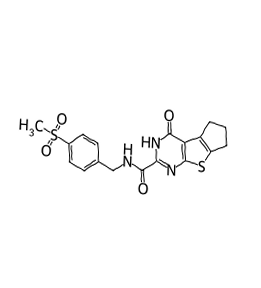 CS(=O)(=O)c1ccc(CNC(=O)c2nc3sc4c(c3c(=O)[nH]2)CCC4)cc1